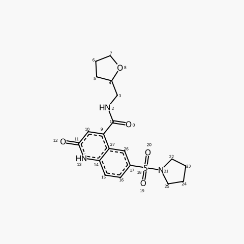 O=C(NCC1CCCO1)c1cc(=O)[nH]c2ccc(S(=O)(=O)N3CCCC3)cc12